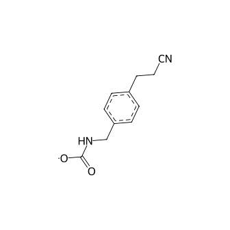 N#CCCc1ccc(CNC([O])=O)cc1